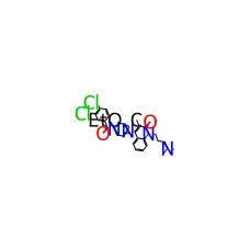 CCOC(=O)c1c(N2CCN(C(=O)c3ccc(Cl)c(Cl)c3)CC2)c2ccccc2n(CCCN(C)C)c1=O